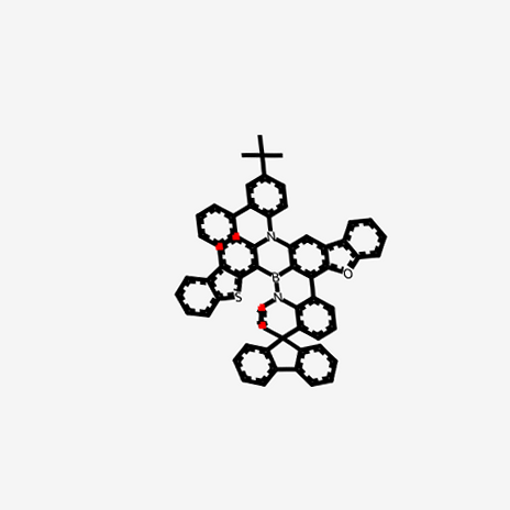 CC(C)(C)c1ccc(N2c3cc4c(oc5ccccc54)c4c3B(c3c2ccc2c3sc3ccccc32)N2c3ccccc3C3(c5ccccc5-c5ccccc53)c3cccc-4c32)c(-c2ccccc2)c1